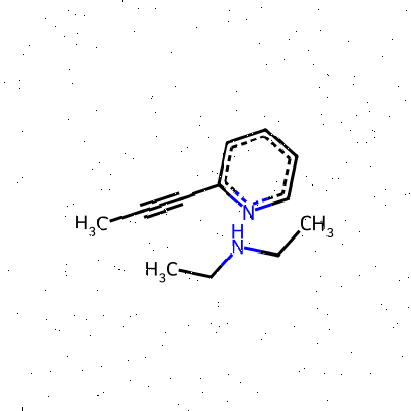 CC#Cc1ccccn1.CCNCC